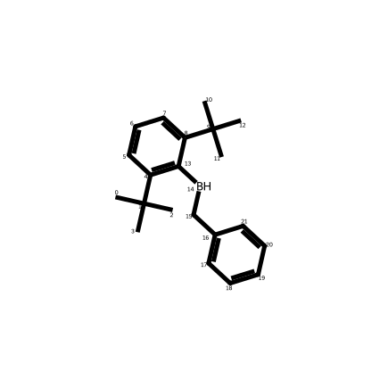 CC(C)(C)c1cccc(C(C)(C)C)c1BCc1ccccc1